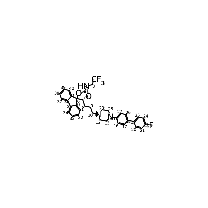 O=C(NCC(F)(F)F)OC1(CCCCN2CCN(c3ccc(-c4ccc(F)cc4)cc3)CC2)c2ccccc2-c2ccccc21